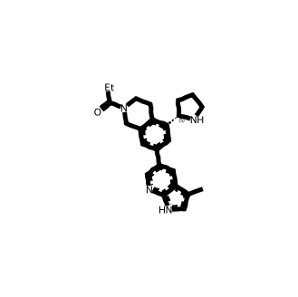 CCC(=O)N1CCc2c(cc(-c3cnc4[nH]cc(C)c4c3)cc2[C@@H]2CCCN2)C1